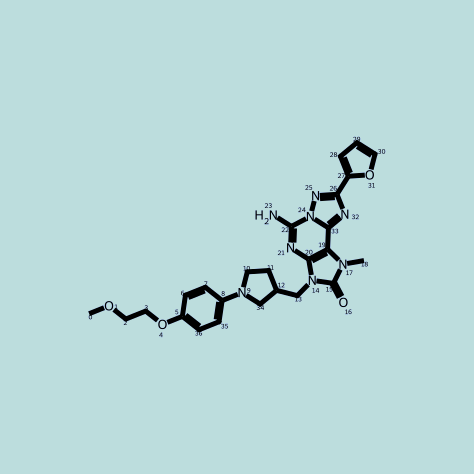 COCCOc1ccc(N2CCC(Cn3c(=O)n(C)c4c3nc(N)n3nc(-c5ccco5)nc43)C2)cc1